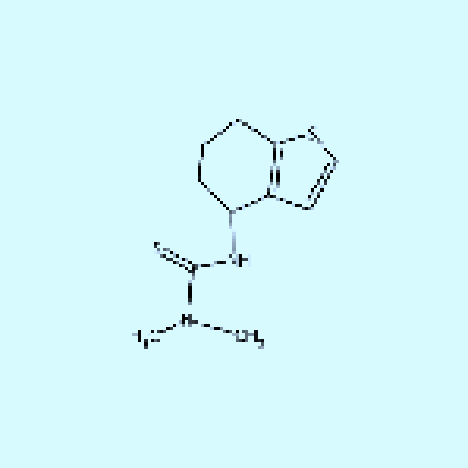 CN(C)C(=S)NC1CCCc2sccc21